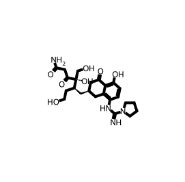 N=C(Nc1ccc(O)c2c1C[C@@H](C[C@@H](CCO)[C@](O)(CO)C(=O)CC(N)=O)CC2=O)N1CCCC1